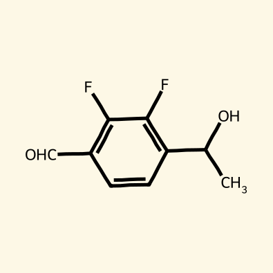 CC(O)c1ccc(C=O)c(F)c1F